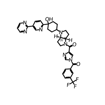 O=C(c1cn(C(=O)c2cccc(C(F)(F)F)c2)cn1)N1CC[C@H]2[C@@H]1CCN2C1CCC(O)(c2ccc(-c3ncccn3)cn2)CC1